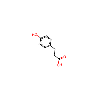 O=C(O)CCc1c[c]c(O)cc1